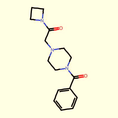 O=C(CN1CCN(C(=O)c2ccccc2)CC1)N1CCC1